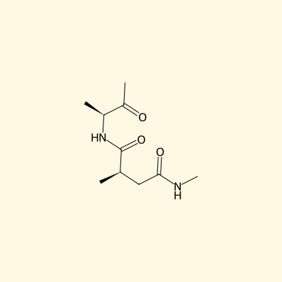 CNC(=O)C[C@@H](C)C(=O)N[C@@H](C)C(C)=O